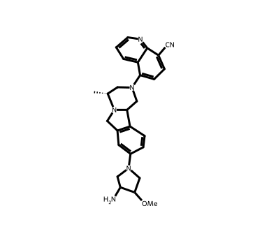 COC1CN(c2ccc3c(c2)CN2C3CN(c3ccc(C#N)c4ncccc34)C[C@H]2C)CC1N